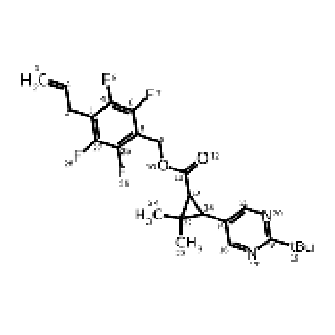 C=CCc1c(F)c(F)c(COC(=O)C2C(c3cnc(C(C)(C)C)nc3)C2(C)C)c(F)c1F